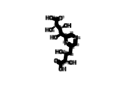 O=C(O)[C@@H](O)[C@H](O)[C@H](O)c1cncc(C[C@@H](O)[C@H](O)C(=O)O)n1